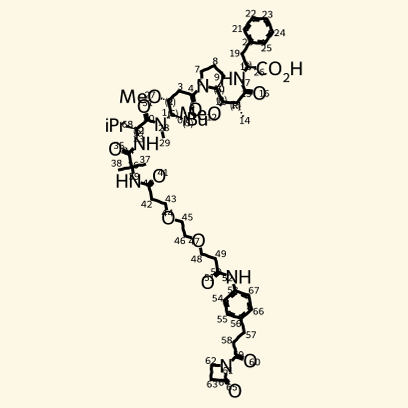 CC[C@H](C)[C@@H]([C@@H](CC(=O)N1CCC[C@H]1[C@H](OC)[C@@H](C)C(=O)N[C@@H](Cc1ccccc1)C(=O)O)OC)N(C)C(=O)[C@@H](NC(=O)C(C)(C)NC(=O)CCOCCOCCC(=O)Nc1ccc(CCC(=O)N2CCC2=O)cc1)C(C)C